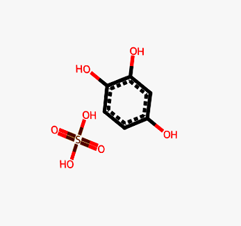 O=S(=O)(O)O.Oc1ccc(O)c(O)c1